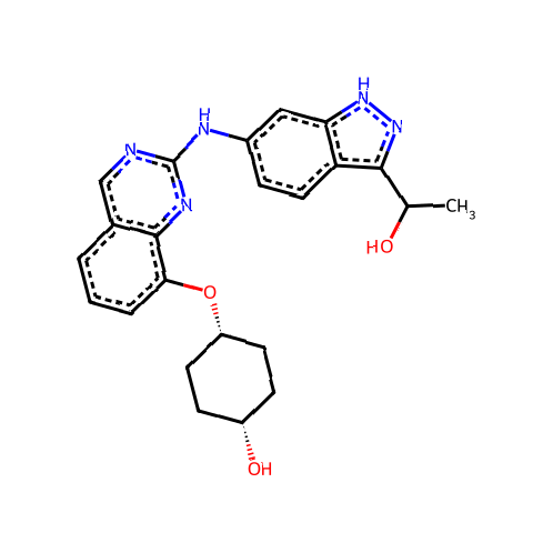 CC(O)c1n[nH]c2cc(Nc3ncc4cccc(O[C@H]5CC[C@@H](O)CC5)c4n3)ccc12